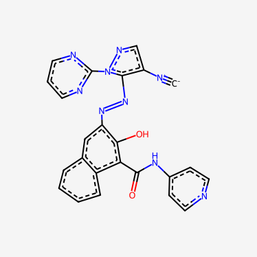 [C-]#[N+]c1cnn(-c2ncccn2)c1/N=N/c1cc2ccccc2c(C(=O)Nc2ccncc2)c1O